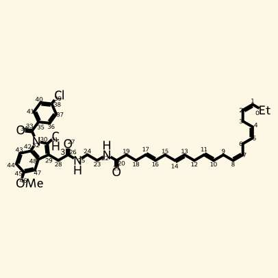 CC/C=C\C/C=C\C/C=C\CC=CCC=CCC=CCCC(=O)NCCNC(=O)Cc1c(C)n(C(=O)c2ccc(Cl)cc2)c2ccc(OC)cc12